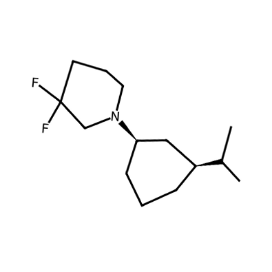 CC(C)[C@H]1CCC[C@@H](N2CCCC(F)(F)C2)C1